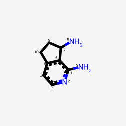 Nc1nccc2c1C(N)CC2